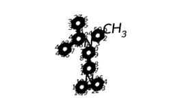 Cc1ccc(N(c2ccc(-c3ccc(-n4c5ccccc5c5ccccc54)cc3)cc2)c2cc(-c3ccccc3)cc(-c3ccccc3)c2)cc1